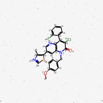 COc1ccc(Cn2c(=O)c(Cl)c(-c3ccccc3F)c3ncc(-c4scnc4C)cc32)cc1